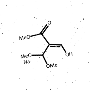 COC(=O)C(=CO)C(OC)OC.[Na]